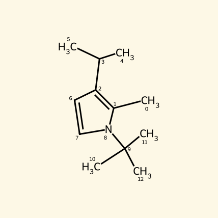 Cc1c(C(C)C)ccn1C(C)(C)C